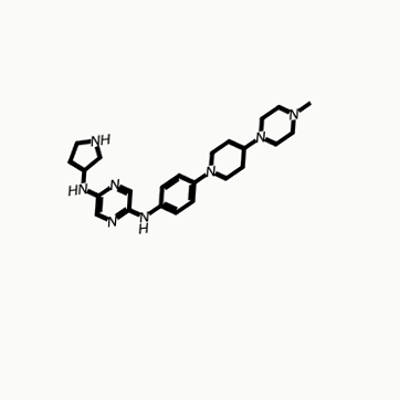 CN1CCN(C2CCN(c3ccc(Nc4cnc(NC5CCNC5)cn4)cc3)CC2)CC1